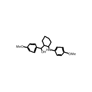 COc1ccc(NC2CCCCC2C(O)c2ccc(OC)cc2)cc1